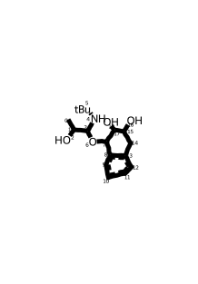 CC(O)C(NC(C)(C)C)OC1c2ccccc2CC(O)C1O